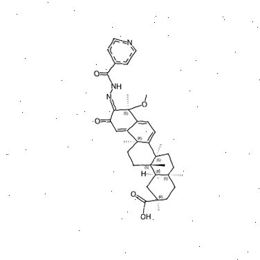 CO[C@@]1(C)C2=CC=C3[C@@](C)(CC[C@@]4(C)[C@@H]5C[C@](C)(C(=O)O)CC[C@]5(C)CC[C@]34C)C2=CC(=O)C1=NNC(=O)c1ccncc1